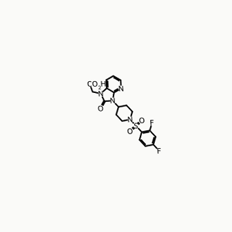 O=C(O)Cn1c(=O)n(C2CCN(S(=O)(=O)c3ccc(F)cc3F)CC2)c2ncccc21